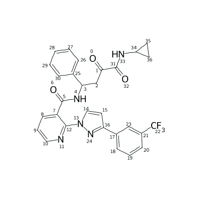 O=C(CC(NC(=O)c1cccnc1-n1ccc(-c2cccc(C(F)(F)F)c2)n1)c1ccccc1)C(=O)NC1CC1